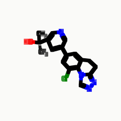 C[C@](O)(c1cncc(-c2cc(Cl)c3c(c2)CCc2nncn2-3)c1)C(F)(F)F